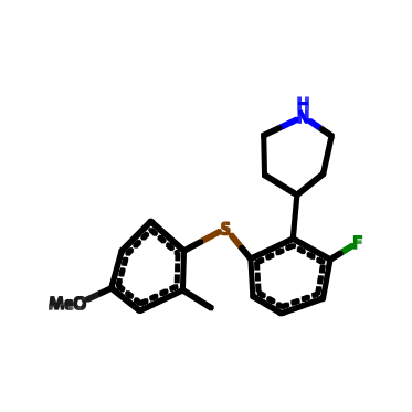 COc1ccc(Sc2cccc(F)c2C2CCNCC2)c(C)c1